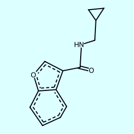 O=C(NCC1CC1)c1coc2ccccc12